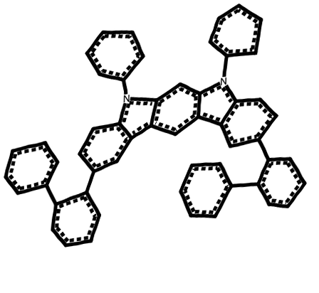 c1ccc(-c2ccccc2-c2ccc3c(c2)c2cc4c5cc(-c6ccccc6-c6ccccc6)ccc5n(-c5ccccc5)c4cc2n3-c2ccccc2)cc1